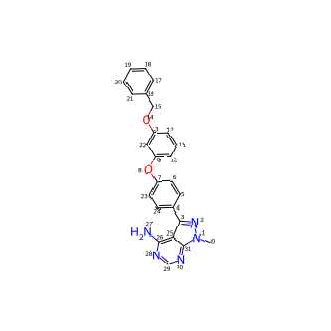 Cn1nc(-c2ccc(Oc3cccc(OCc4ccccc4)c3)cc2)c2c(N)ncnc21